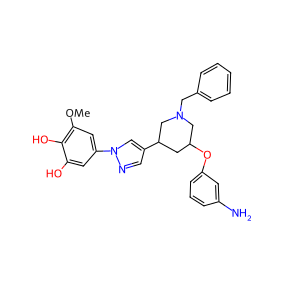 COc1cc(-n2cc(C3CC(Oc4cccc(N)c4)CN(Cc4ccccc4)C3)cn2)cc(O)c1O